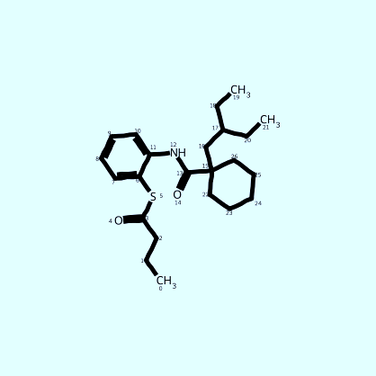 CCCC(=O)Sc1ccccc1NC(=O)C1(CC(CC)CC)CCCCC1